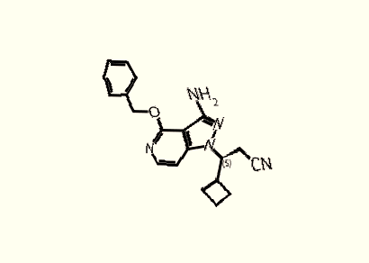 N#CC[C@@H](C1CCC1)n1nc(N)c2c(OCc3ccccc3)nccc21